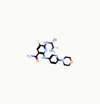 CC[C@@H](Nc1nc(Nc2ccc(N3CCOCC3)nc2)c(C(N)=O)cc1F)[C@H](C)N